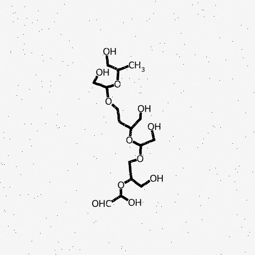 CC(CO)OC(CO)OCCC(CO)OC(CO)OCC(CO)OC(O)C=O